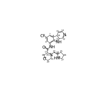 O=C(Nc1cc(Cl)cc2c1NC1C=NC=CC21)[C@@H]1COCCN1C[C@H]1CCCN1